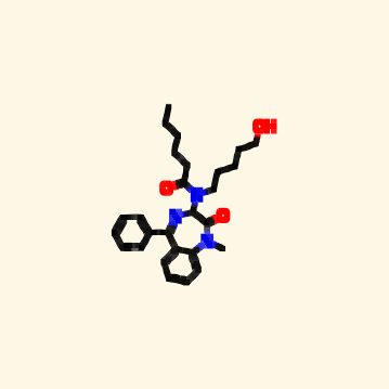 CCCCCC(=O)N(CCCCCO)C1N=C(c2ccccc2)c2ccccc2N(C)C1=O